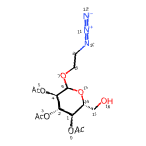 CC(=O)O[C@H]1[C@H](OC(C)=O)[C@@H](OC(C)=O)C(OCCN=[N+]=[N-])O[C@@H]1CO